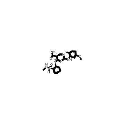 CNS(=O)(=O)c1ccccc1Nc1nc(Nc2cc(OC)ccc2F)ncc1C(N)=O